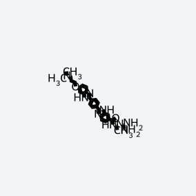 CC(N=C(N)N)NC(=O)c1ccc2nc(-c3ccc(-c4nc5ccc(OCCCN(C)C)cc5[nH]4)cc3)[nH]c2c1